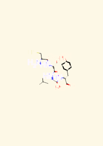 CC(C)C[C@H](NC(=O)[C@H](CO)NC(=O)[C@@H](N)CS)C(=O)N[C@@H](Cc1ccc(O)cc1)C(=O)O